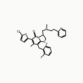 Cc1c(Cc2c(F)cccc2F)c2n(c(=O)c1-c1ccc(Cl)s1)C(CN(C)CCc1ccccn1)CS2